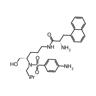 CC(C)CN([C@H](CO)CCCNC(=O)[C@@H](N)Cc1cccc2ccccc12)S(=O)(=O)c1ccc(N)cc1